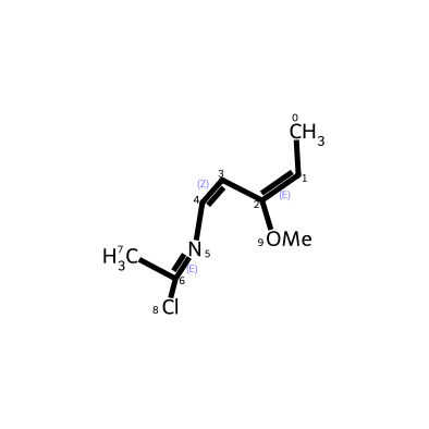 C\C=C(/C=C\N=C(/C)Cl)OC